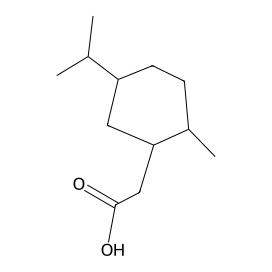 CC(C)C1CCC(C)C(CC(=O)O)C1